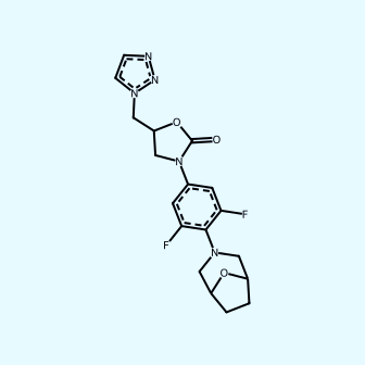 O=C1OC(Cn2ccnn2)CN1c1cc(F)c(N2CC3CCC(C2)O3)c(F)c1